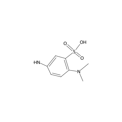 CN(C)c1ccc([NH])cc1S(=O)(=O)O